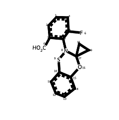 O=C(O)c1cccc(F)c1N1Sc2ccccc2OC12CC2